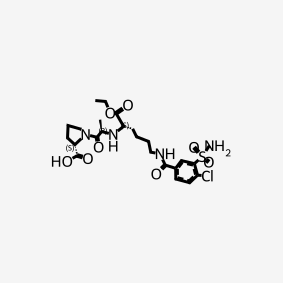 CCOC(=O)[C@H](CCCCNC(=O)c1ccc(Cl)c(S(N)(=O)=O)c1)N[C@H](C)C(=O)N1CCC[C@H]1C(=O)O